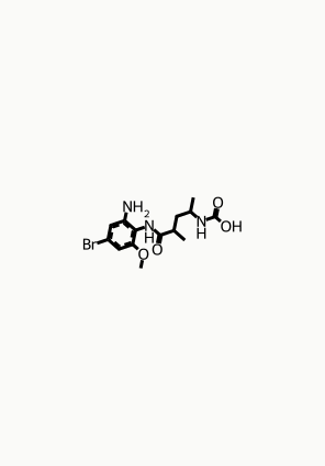 COc1cc(Br)cc(N)c1NC(=O)C(C)CC(C)NC(=O)O